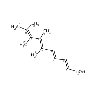 CCCCCCCC/C=C/C=C/C(C)=C(C)/C(C)=[C](\C)[AlH2]